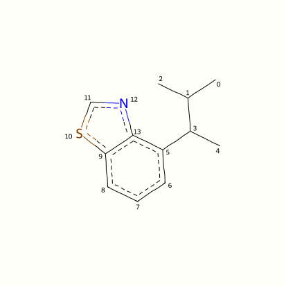 CC(C)C(C)c1cccc2scnc12